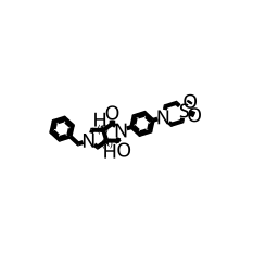 O=C1[C@H]2CN(Cc3ccccc3)C[C@H]2C(=O)N1c1ccc(N2CCS(=O)(=O)CC2)cc1